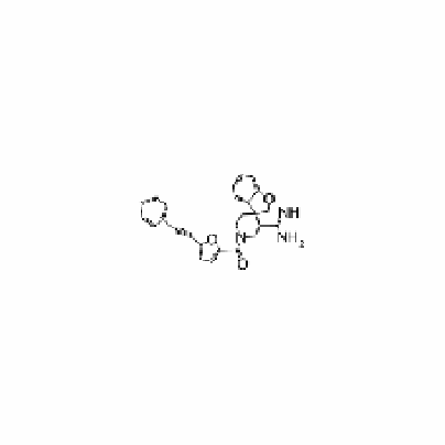 N=C(N)C1CN(C(=O)c2ccc(C#Cc3ccccc3)o2)CCC12COc1ccccc12